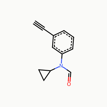 C#Cc1cccc(N(C=O)C2CC2)c1